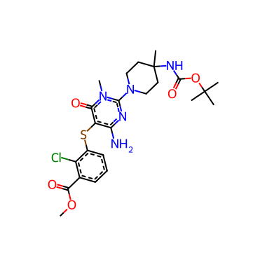 COC(=O)c1cccc(Sc2c(N)nc(N3CCC(C)(NC(=O)OC(C)(C)C)CC3)n(C)c2=O)c1Cl